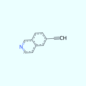 C#Cc1ccc2cn[c]cc2c1